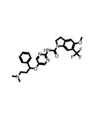 COc1cc2c(cc1C(F)(F)F)N(C(=O)Nc1ncc(OC(CCN(C)C)c3ccccc3)cn1)CC2